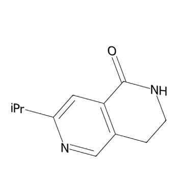 CC(C)c1cc2c(cn1)CCNC2=O